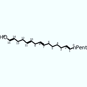 CCCCCC=CCCCCC=CCC=CCCC=CO